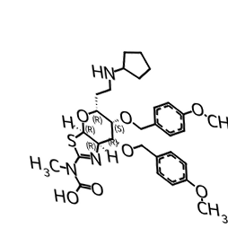 COc1ccc(CO[C@@H]2[C@H]3N=C(N(C)C(=O)O)S[C@H]3O[C@H](CCNC3CCCC3)[C@@H]2OCc2ccc(OC)cc2)cc1